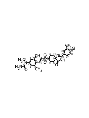 Cc1cc(N(C)C(N)=O)cc(C)c1C=CS(=O)(=O)N1CCC2(CC1)N=C(c1ccc(Cl)c(C(F)(F)F)c1)NC2=O